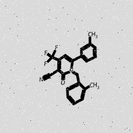 Cc1cccc(-c2cc(C(F)(F)F)c(C#N)c(=O)n2Cc2ccccc2C)c1